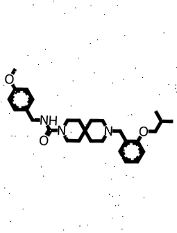 COc1ccc(CNC(=O)N2CCC3(CCN(Cc4ccccc4OCC(C)C)CC3)CC2)cc1